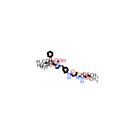 CC(C)(C)OC(=O)Nc1nc(CC(=O)Nc2ccc(C[C@@H]3CC[C@H]([C@@H](COc4ccccc4)O[Si](C)(C)C(C)(C)C)N3C(=O)O)cc2)cs1